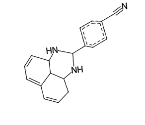 N#Cc1ccc(C2NC3C=CC=C4C=CCC(N2)C43)cc1